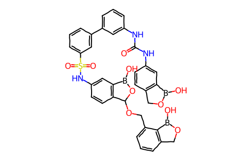 O=C(Nc1cccc(-c2cccc(S(=O)(=O)Nc3ccc4c(c3)B(O)OC4OCc3cccc4c3B(O)OC4)c2)c1)Nc1ccc2c(c1)B(O)OC2